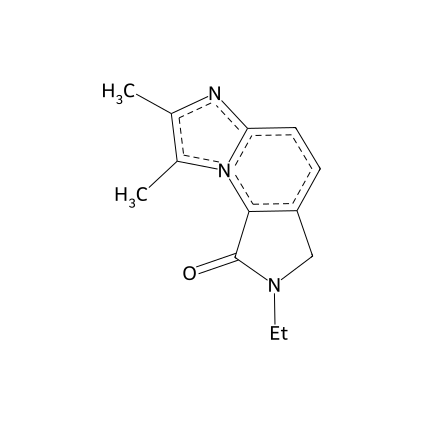 CCN1Cc2ccc3nc(C)c(C)n3c2C1=O